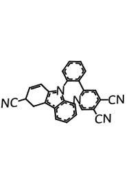 N#Cc1cnc(-c2ccccc2-n2c3c(c4ccccc42)CC(C#N)C=C3)cc1C#N